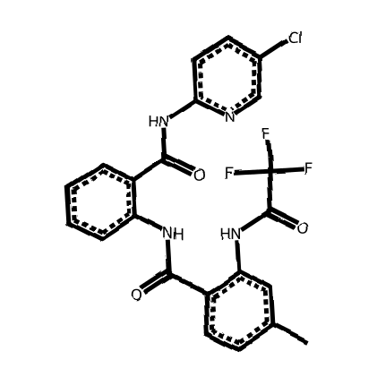 Cc1ccc(C(=O)Nc2ccccc2C(=O)Nc2ccc(Cl)cn2)c(NC(=O)C(F)(F)F)c1